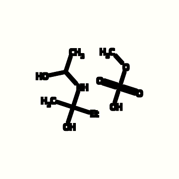 CCC(C)(O)NC(C)O.COS(=O)(=O)O